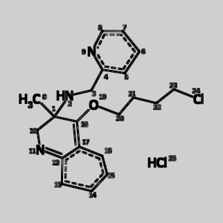 CC1(NCc2ccccn2)CN=c2ccccc2=C1OCCCCCl.Cl